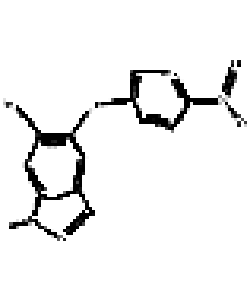 Cn1ncc2cc(Oc3ccc([N+](=O)[O-])nc3)c(Br)cc21